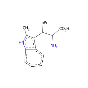 CCCC(c1c(C)[nH]c2ccccc12)C(N)C(=O)O